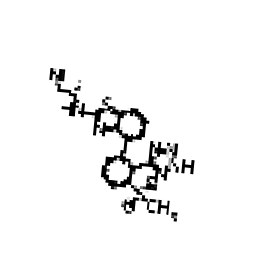 CS(=O)(=O)c1cccc(-c2cccc3sc(NCCN)nc23)c1-c1nn[nH]n1